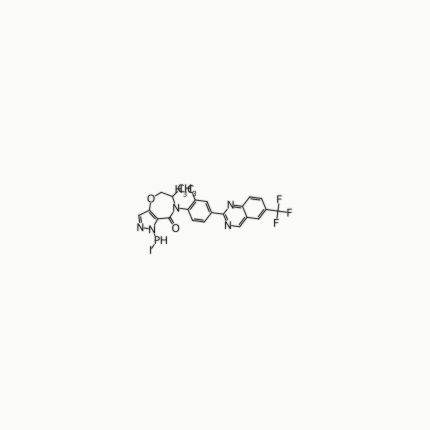 Cc1cc(-c2ncc3cc(C(F)(F)F)ccc3n2)ccc1N1C(=O)c2c(cnn2PI)OCC1C